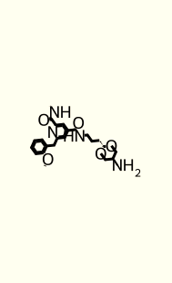 CNC(=O)c1cc(C(=O)NCCC[C@H]2OC[C@H](N)CO2)cc(Cc2ccccc2OC)n1